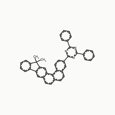 CC1(C)c2ccccc2-c2cc3ccc4ccc5cc(-c6nc(-c7ccccc7)nc(-c7ccccc7)n6)ccc5c4c3cc21